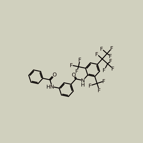 O=C(Nc1cccc(C(=O)Nc2c(C(F)(F)F)cc(C(F)(C(F)(F)F)C(F)(F)F)cc2C(F)(F)F)c1)c1ccccc1